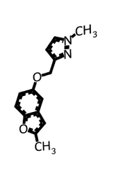 Cc1cc2cc(OCc3ccn(C)n3)ccc2o1